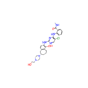 CNC(=O)c1ccccc1Nc1nc(Nc2ccc3c(c2O)CCC[C@H](N2CCN(CCO)CC2)C3)ncc1Cl